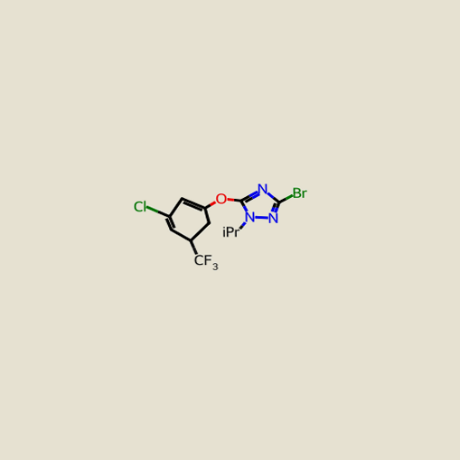 CC(C)n1nc(Br)nc1OC1=CC(Cl)=CC(C(F)(F)F)C1